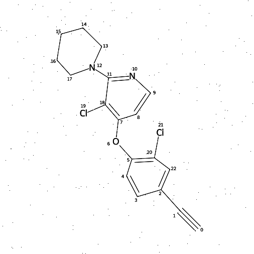 C#Cc1ccc(Oc2ccnc(N3CC[CH]CC3)c2Cl)c(Cl)c1